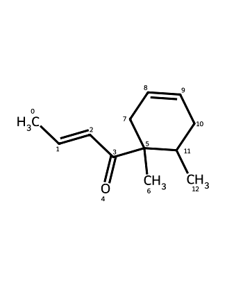 CC=CC(=O)C1(C)CC=CCC1C